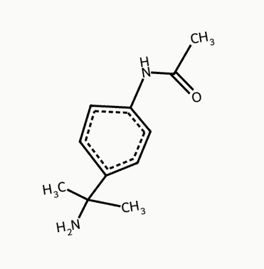 CC(=O)Nc1ccc(C(C)(C)N)cc1